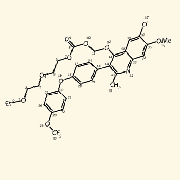 CCOCCOCCOC(=O)OCOc1c(-c2ccc(Oc3ccc(OC(F)(F)F)cc3)cc2)c(C)nc2cc(OC)c(Cl)cc12